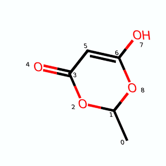 CC1OC(=O)C=C(O)O1